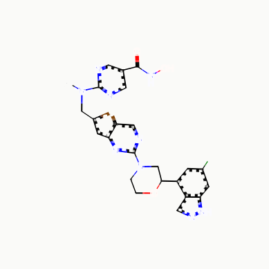 CN(Cc1cc2nc(N3CCOC(c4cc(F)cc5[nH]ncc45)C3)ncc2s1)c1ncc(C(=O)NO)cn1